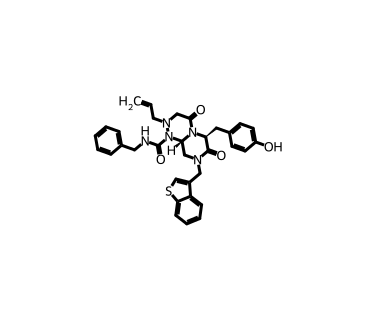 C=CCN1CC(=O)N2[C@@H](Cc3ccc(O)cc3)C(=O)N(Cc3csc4ccccc34)C[C@@H]2N1C(=O)NCc1ccccc1